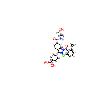 O=C(C1CCc2c(C3=CCC(C(O)O)CC3)nn(C(=O)c3c(Cl)cccc3C3CC3)c2C1)N1CC[C@H]1CO